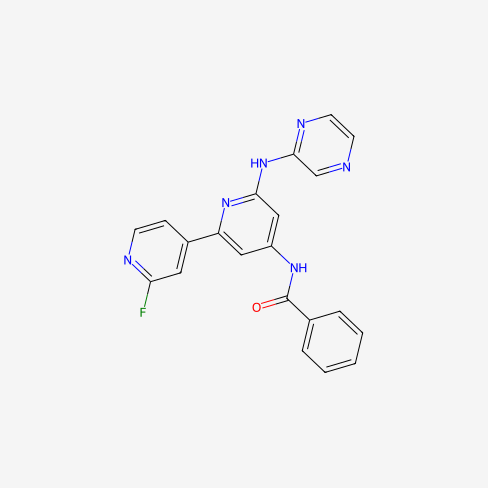 O=C(Nc1cc(Nc2cnccn2)nc(-c2ccnc(F)c2)c1)c1ccccc1